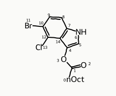 CCCCCCCCC(=O)Oc1c[nH]c2ccc(Br)c(Cl)c12